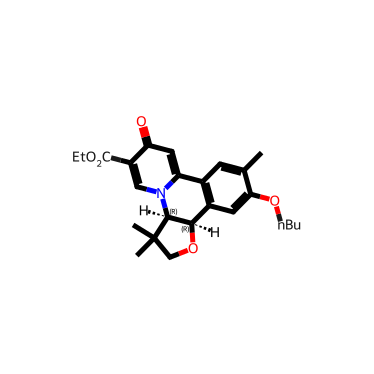 CCCCOc1cc2c(cc1C)-c1cc(=O)c(C(=O)OCC)cn1[C@H]1[C@@H]2OCC1(C)C